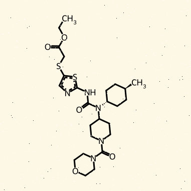 CCOC(=O)CSc1cnc(NC(=O)N(C2CCN(C(=O)N3CCOCC3)CC2)[C@H]2CC[C@H](C)CC2)s1